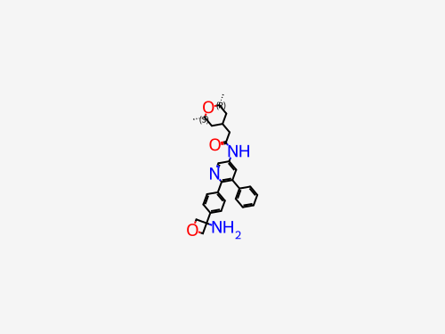 C[C@@H]1CC(CC(=O)Nc2cnc(-c3ccc(C4(N)COC4)cc3)c(-c3ccccc3)c2)C[C@H](C)O1